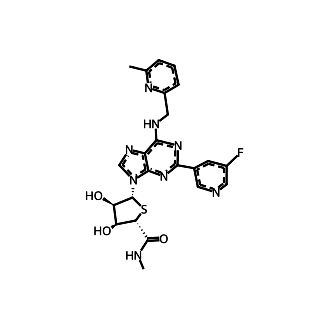 CNC(=O)[C@H]1S[C@@H](n2cnc3c(NCc4cccc(C)n4)nc(-c4cncc(F)c4)nc32)[C@H](O)[C@@H]1O